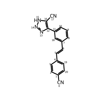 N#Cc1ccc(C=Cc2cccc(-c3nn[nH]c3C#N)c2)cc1